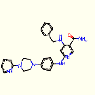 NC(=O)c1cnc(Nc2ccc(N3CCN(c4ccccn4)CC3)cc2)cc1NCc1ccccc1